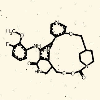 COc1c(F)cccc1Nc1c2[nH]c3c1C(=O)NCC3CCOC(=O)N1CCC(CC1)COc1cnccc1-2